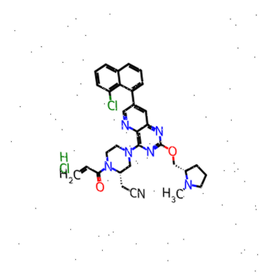 C=CC(=O)N1CCN(c2nc(OC[C@@H]3CCCN3C)nc3cc(-c4cccc5cccc(Cl)c45)cnc23)C[C@@H]1CC#N.Cl